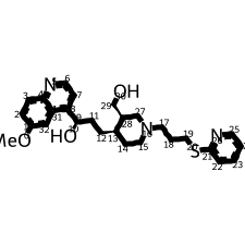 COc1ccc2nccc([C@H](O)CC[C@@H]3CCN(CCCSc4ccccn4)C[C@@H]3CO)c2c1